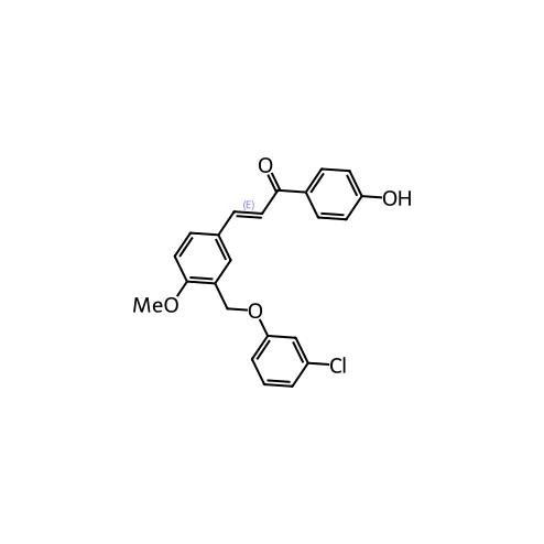 COc1ccc(/C=C/C(=O)c2ccc(O)cc2)cc1COc1cccc(Cl)c1